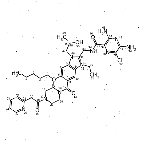 CCCCCOc1cc2c(cc1C(=O)N1CCN(C(=O)Cc3ccccn3)CC1)[n+](CC)c(CNC(=O)c1nc(Cl)c(N)nc1N)n2C[C@H](C)O